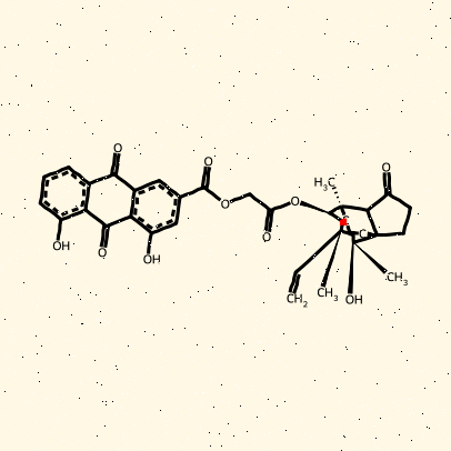 C=C[C@]1(C)C[C@@H](OC(=O)COC(=O)c2cc(O)c3c(c2)C(=O)c2cccc(O)c2C3=O)[C@]2(C)CCC[C@@]3(CCC(=O)C32)[C@@H](C)[C@@H]1O